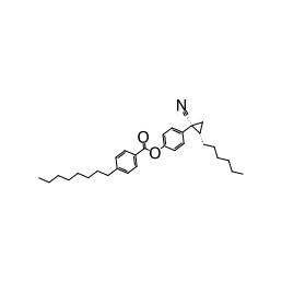 CCCCCCCCc1ccc(C(=O)Oc2ccc([C@@]3(C#N)C[C@@H]3CCCCCC)cc2)cc1